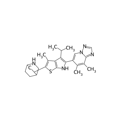 Cc1c(-c2[nH]c3sc(C4CC5CCC4CN5)c(C)c3c2C(C)C)cn2ncnc2c1C